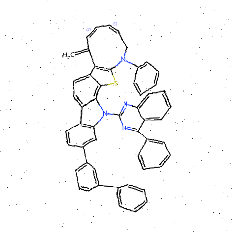 C=C1/C=C\C=C/CN(c2ccccc2)c2sc3c(ccc4c5ccc(-c6cccc(-c7ccccc7)c6)cc5n(-c5nc(-c6ccccc6)c6ccccc6n5)c43)c21